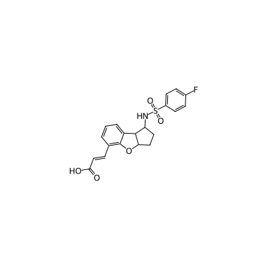 O=C(O)/C=C/c1cccc2c1OC1CCC(NS(=O)(=O)c3ccc(F)cc3)C21